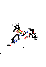 COc1ccc(N(CCN(CC2CC2)C(=O)c2ccccc2)S(=O)(=O)c2ccccc2C)cn1